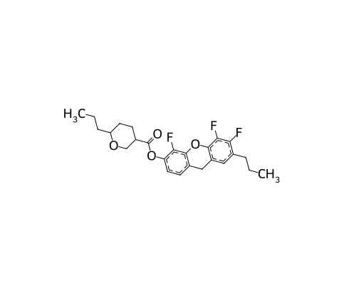 CCCc1cc2c(c(F)c1F)Oc1c(ccc(OC(=O)C3CCC(CCC)OC3)c1F)C2